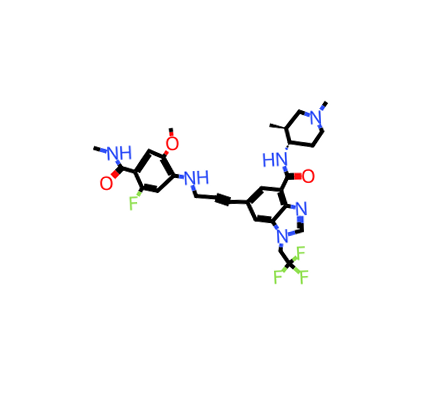 CNC(=O)c1cc(OC)c(NCC#Cc2cc(C(=O)N[C@H]3CCN(C)C[C@@H]3C)c3ncn(CC(F)(F)F)c3c2)cc1F